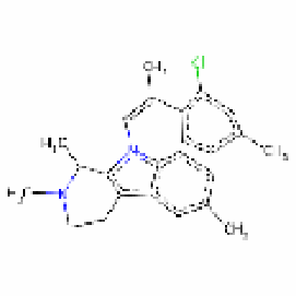 C/C(=C/n1c2c(c3cc(C)ccc31)CCN(C)C2C)c1ccc(C)cc1Cl